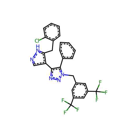 FC(F)(F)c1cc(Cn2nnc(-c3cn[nH]c3Cc3ccccc3Cl)c2-c2ccccc2)cc(C(F)(F)F)c1